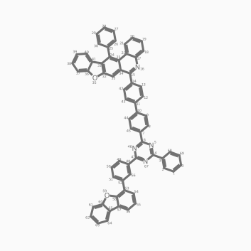 c1ccc(-c2nc(-c3ccc(-c4ccc(-c5nc6ccccc6c6c(-c7ccccc7)c7c(cc56)oc5ccccc57)cc4)cc3)nc(-c3cccc(-c4cccc5c4oc4ccccc45)c3)n2)cc1